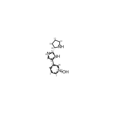 O[n+]1cccc(-c2cnc([C@@H]3CCCN3)[nH]2)c1